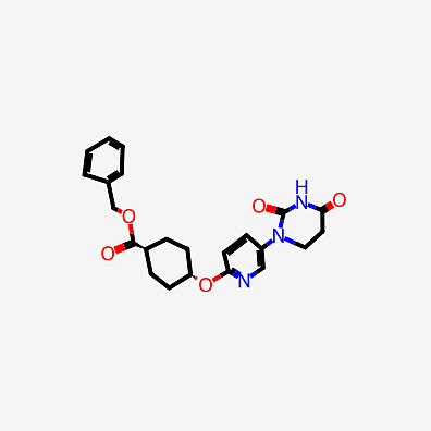 O=C1CCN(c2ccc(O[C@H]3CC[C@H](C(=O)OCc4ccccc4)CC3)nc2)C(=O)N1